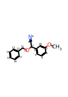 COc1cccc(C(C#N)OCc2ccccc2)c1